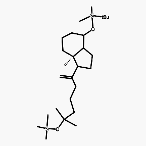 C=C(CCCC(C)(C)O[Si](C)(C)C)C1CCC2C(O[Si](C)(C)C(C)(C)C)CCC[C@]12C